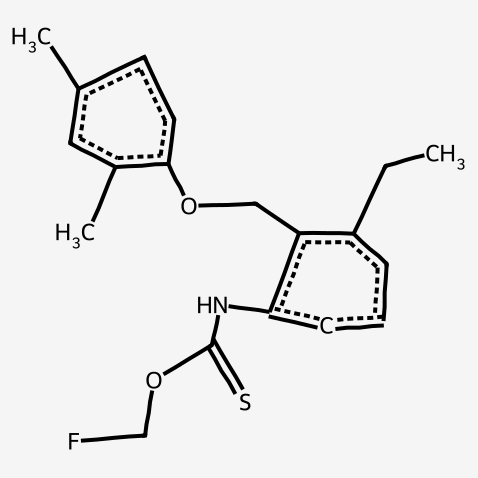 CCc1cccc(NC(=S)OCF)c1COc1ccc(C)cc1C